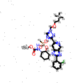 CC(C)(C)OC(=O)N[C@H]1CCC[C@@H](n2c(-c3ccccc3F)nc3cnc(-c4ncn(COCC[Si](C)(C)C)n4)cc32)[C@@H]1OS(C)(=O)=O